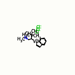 CN(C)C[CH]([V+3][CH]1C=Cc2ccccc21)C(C)(C)C.[Cl-].[Cl-].[Cl-]